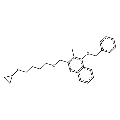 Cc1c(COCCCCOC2CC2)nc2ccccc2c1OCc1ccccc1